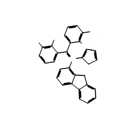 Cc1cccc([C](c2cccc(C)c2C)=[Zr]([C]2=CC=CC2)[c]2cccc3c2Cc2ccccc2-3)c1C